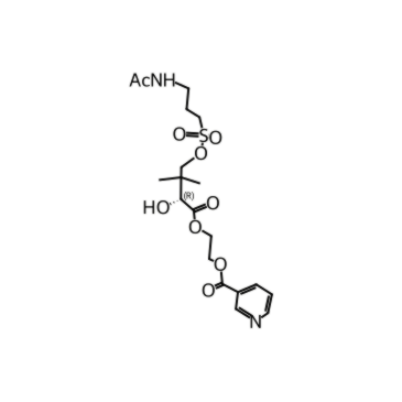 CC(=O)NCCCS(=O)(=O)OCC(C)(C)[C@@H](O)C(=O)OCCOC(=O)c1cccnc1